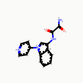 NC(=O)C(=O)Nc1cn(-c2ccncc2)c2ccccc12